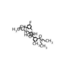 CCCN(CCC)C(=O)c1cc(C)cc(C(=O)N[C@@H](Cc2cc(F)cc(F)c2)[C@H](O)CNCCN(C)C)c1